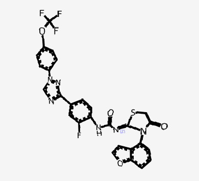 O=C(/N=C1\SCC(=O)N1c1cccc2occc12)Nc1ccc(-c2ncn(-c3ccc(OC(F)(F)F)cc3)n2)cc1F